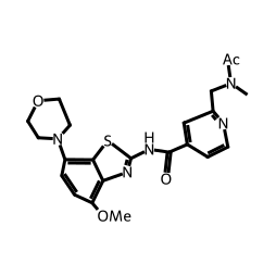 COc1ccc(N2CCOCC2)c2sc(NC(=O)c3ccnc(CN(C)C(C)=O)c3)nc12